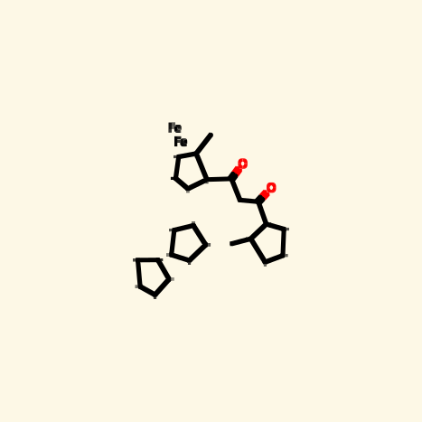 C[C]1[CH][CH][CH][C]1C(=O)CC(=O)[C]1[CH][CH][CH][C]1C.[CH]1[CH][CH][CH][CH]1.[CH]1[CH][CH][CH][CH]1.[Fe].[Fe]